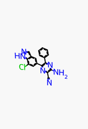 N#Cc1nc(-c2cc(Cl)c3[nH]ncc3c2)c(-c2ccccc2)nc1N